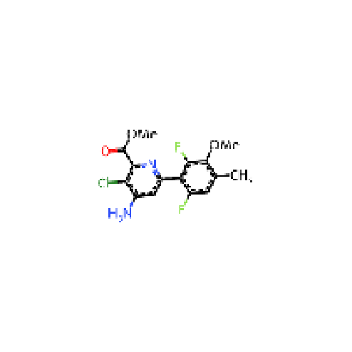 COC(=O)c1nc(-c2c(F)cc(C)c(OC)c2F)cc(N)c1Cl